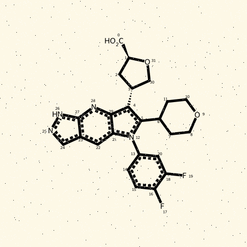 O=C(O)[C@@H]1C[C@@H](c2c(C3CCOCC3)n(-c3ccc(F)c(F)c3)c3cc4cn[nH]c4nc23)CO1